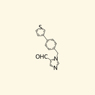 O=Cc1cncn1Cc1ccc(-c2ccsc2)cc1